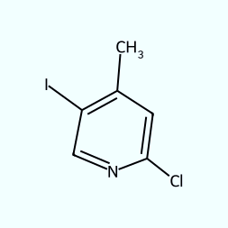 Cc1cc(Cl)ncc1I